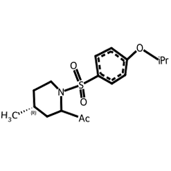 CC(=O)C1C[C@H](C)CCN1S(=O)(=O)c1ccc(OC(C)C)cc1